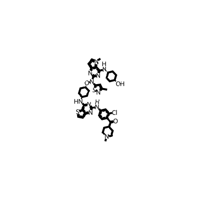 Cc1cc(N(O[C@H]2CC[C@H](Nc3nc(Nc4ccc(C(=O)C5CCN(C)CC5)c(Cl)c4)nc4ccsc34)CC2)c2nc(N[C@H]3CC[C@H](O)CC3)c3c(ccn3C)n2)sn1